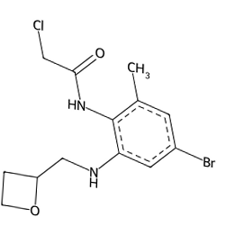 Cc1cc(Br)cc(NCC2CCO2)c1NC(=O)CCl